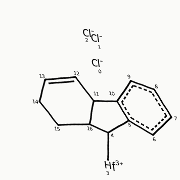 [Cl-].[Cl-].[Cl-].[Hf+3][CH]1c2ccccc2C2C=CCCC12